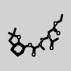 CCOC(=O)CN(SN(C)C(=O)Oc1cccc2c1OC(C)(C)C2)C(C)=O